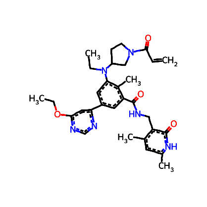 C=CC(=O)N1CCC(N(CC)c2cc(-c3cc(OCC)ncn3)cc(C(=O)NCc3c(C)cc(C)[nH]c3=O)c2C)C1